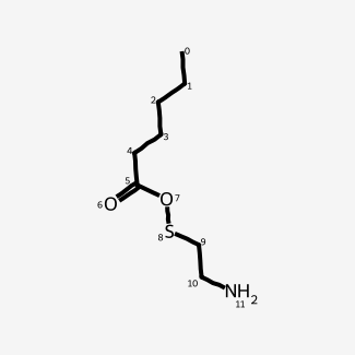 CCCCCC(=O)OSCCN